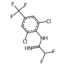 N=C(Nc1c(Cl)cc(C(F)(F)F)cc1Cl)C(F)F